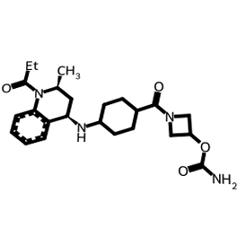 CCC(=O)N1c2ccccc2[C@H](NC2CCC(C(=O)N3CC(OC(N)=O)C3)CC2)C[C@@H]1C